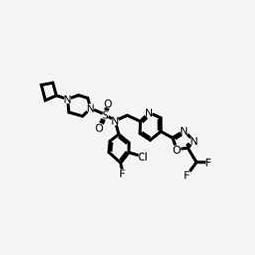 O=S(=O)(N1CCN(C2CCC2)CC1)N(Cc1ccc(-c2nnc(C(F)F)o2)cn1)c1ccc(F)c(Cl)c1